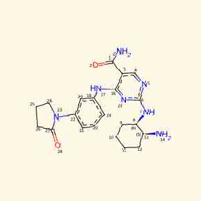 NC(=O)c1cnc(N[C@@H]2CCCC[C@@H]2N)nc1Nc1cccc(N2CCCC2=O)c1